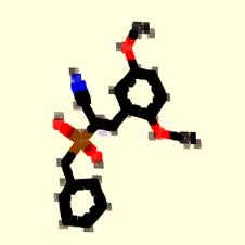 COc1ccc(OC)c(/C=C(\C#N)S(=O)(=O)Cc2ccccc2)c1